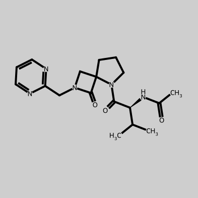 CC(=O)N[C@H](C(=O)N1CCCC12CN(Cc1ncccn1)C2=O)C(C)C